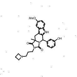 COc1ccc2[nH]c3c(c2c1)CC1(C)C(=O)N(CCCN2CCC2)C(=O)N1C3c1cccc(O)c1